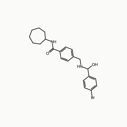 O=C(NC1CCCCCC1)c1ccc(CNC(O)c2ccc(Br)cc2)cc1